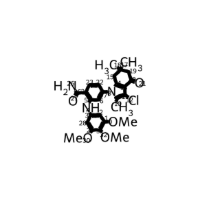 COc1cc(Nc2cc(-n3c(C)c(Cl)c4c3CC(C)(C)CC4=O)ccc2C(N)=O)cc(OC)c1OC